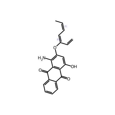 C=C/C(=C\C=C/C)Oc1cc(O)c2c(c1N)C(=O)c1ccccc1C2=O